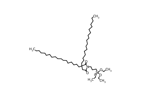 CCCCCCCCCCCCCCCCCCC1(CCCCCCCCCCCCCCCCCC)CC(=O)N(CCC[Si](OCC)(OCC)OCC)C1=O